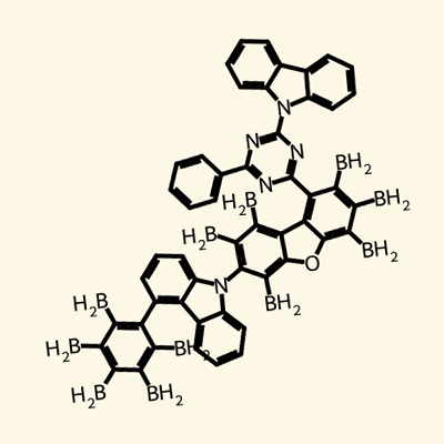 Bc1c(B)c(B)c(-c2cccc3c2c2ccccc2n3-c2c(B)c(B)c3c(oc4c(B)c(B)c(B)c(-c5nc(-c6ccccc6)nc(-n6c7ccccc7c7ccccc76)n5)c43)c2B)c(B)c1B